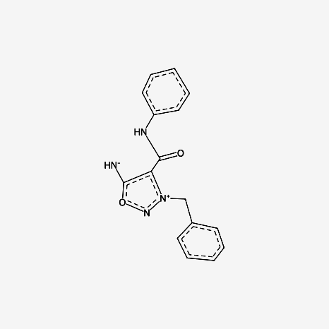 [NH-]c1on[n+](Cc2ccccc2)c1C(=O)Nc1ccccc1